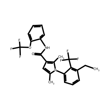 CCc1cccc(-n2c(C)cc(C(=O)Nc3ccccc3OC(F)(F)F)c2C)c1C(F)(F)F